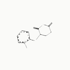 O=C1CCC(Nc2ccccc2F)C(=O)N1